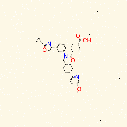 COc1ccc([C@H]2CC[C@H](CN(c3cccc(-c4coc(C5CC5)n4)c3)C(=O)[C@H]3CC[C@H](C(=O)O)CC3)CC2)nc1C